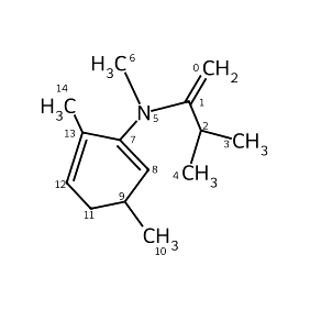 C=C(C(C)C)N(C)C1=CC(C)CC=C1C